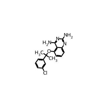 CC(C)(Oc1cccc2nc(N)nc(N)c12)c1cccc(Cl)c1